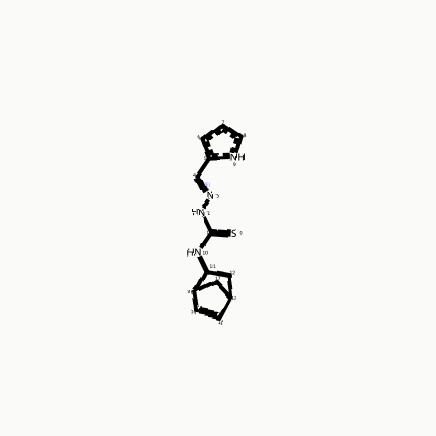 S=C(N/N=C/c1ccc[nH]1)NC1CC2C=CC1C2